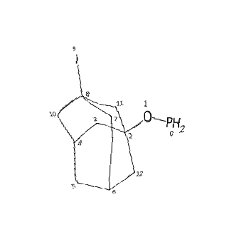 POC12CC3CC(CC(I)(C3)C1)C2